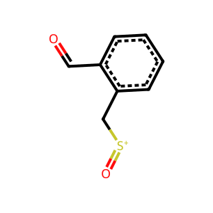 O=Cc1ccccc1C[S+]=O